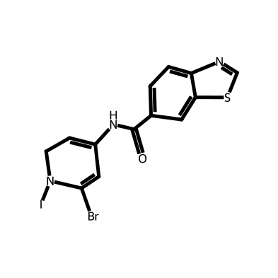 O=C(NC1=CCN(I)C(Br)=C1)c1ccc2ncsc2c1